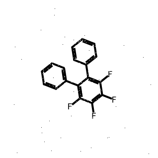 Fc1c(F)c(F)c(-c2ccccc2)c(-c2ccccc2)c1F